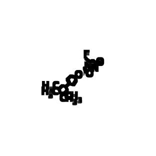 CC1(C)CC(c2ccc(OC[C@@H]3Cn4c(CF)cc(=O)nc4O3)cc2)CC(C)(C)C1